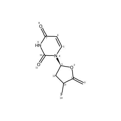 C=C1O[C@H](n2ccc(=O)[nH]c2=O)CC1F